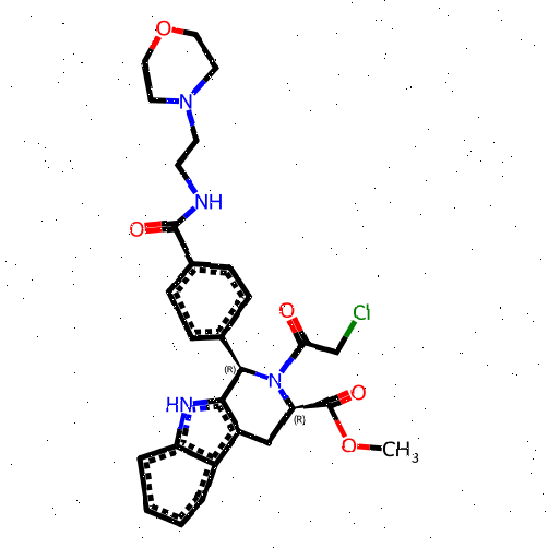 COC(=O)[C@H]1Cc2c([nH]c3ccccc23)[C@@H](c2ccc(C(=O)NCCN3CCOCC3)cc2)N1C(=O)CCl